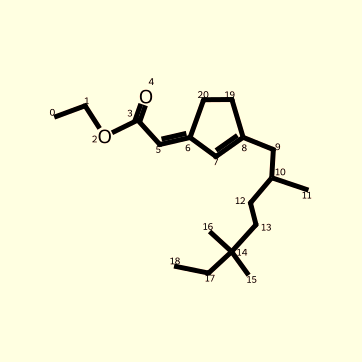 CCOC(=O)/C=C1/C=C(CC(C)CCC(C)(C)CC)CC1